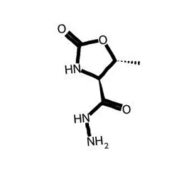 C[C@H]1OC(=O)N[C@@H]1C(=O)NN